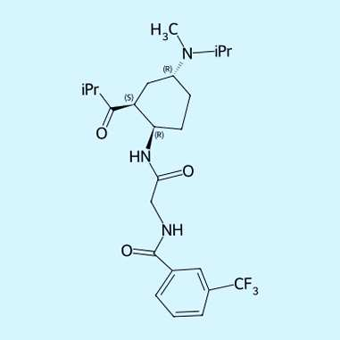 CC(C)C(=O)[C@H]1C[C@H](N(C)C(C)C)CC[C@H]1NC(=O)CNC(=O)c1cccc(C(F)(F)F)c1